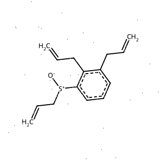 C=CCc1cccc([S+]([O-])CC=C)c1CC=C